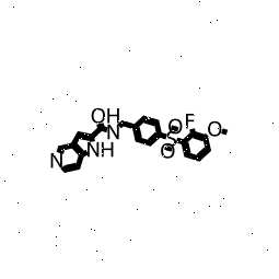 COc1cccc(S(=O)(=O)c2ccc(CNC(=O)c3cc4cnccc4[nH]3)cc2)c1F